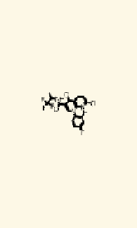 CC(NC(=O)c1cn(-c2ccc(F)cc2F)c2nc(Cl)ccc2c1=O)C(F)(F)F